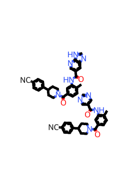 Cc1ccc(C(=O)N2CCC(c3ccc(C#N)cc3)CC2)cc1NC(=O)c1cnc2[nH]cnc2c1.Cc1ccc(C(=O)N2CCC(c3ccc(C#N)cc3)CC2)cc1NC(=O)c1cncnc1